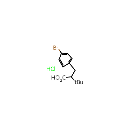 CC(C)(C)C(Cc1ccc(Br)cc1)C(=O)O.Cl